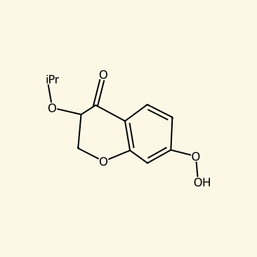 CC(C)OC1COc2cc(OO)ccc2C1=O